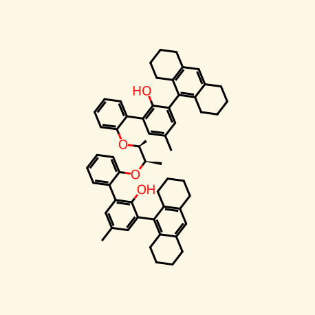 Cc1cc(-c2ccccc2O[C@@H](C)[C@@H](C)Oc2ccccc2-c2cc(C)cc(-c3c4c(cc5c3CCCC5)CCCC4)c2O)c(O)c(-c2c3c(cc4c2CCCC4)CCCC3)c1